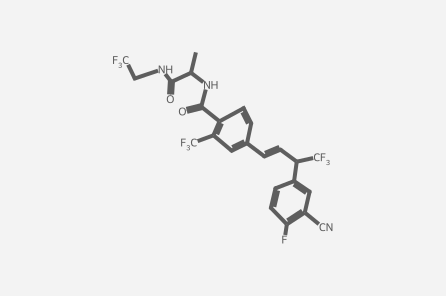 CC(NC(=O)c1ccc(/C=C/C(c2ccc(F)c(C#N)c2)C(F)(F)F)cc1C(F)(F)F)C(=O)NCC(F)(F)F